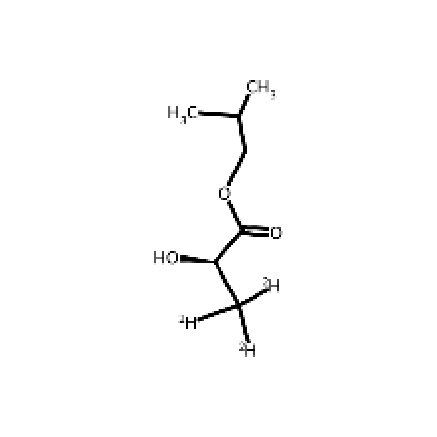 [2H]C([2H])([2H])[C@@H](O)C(=O)OCC(C)C